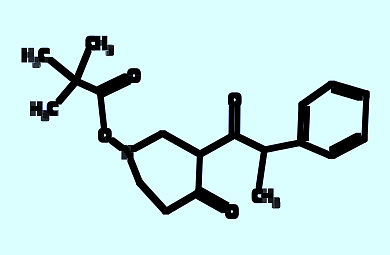 CC(C(=O)C1CN(OC(=O)C(C)(C)C)CCC1=O)c1ccccc1